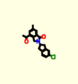 CC(=O)c1cc(C)cc2c1CN(C1Cc3ccc(Cl)cc3C1)C2=O